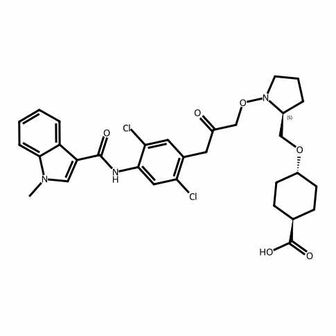 Cn1cc(C(=O)Nc2cc(Cl)c(CC(=O)CON3CCC[C@H]3CO[C@H]3CC[C@H](C(=O)O)CC3)cc2Cl)c2ccccc21